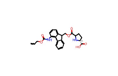 C=CCOC(=O)Nc1cccc2c1-c1ccccc1C2COC(=O)C1CC[C@H](C(=O)O)N1